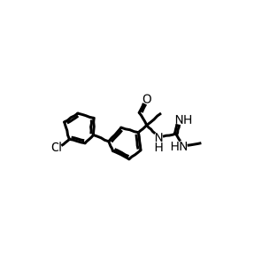 CNC(=N)NC(C)(C=O)c1cccc(-c2cccc(Cl)c2)c1